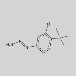 C[Si](C)(C)c1ccc(N=NN)cc1Cl